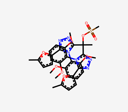 COc1cccc(OC)c1-n1c(-c2ccc(C)o2)nnc1C(C)(OS(C)(=O)=O)c1nnc(-c2ccc(C)o2)n1-c1c(OC)cccc1OC